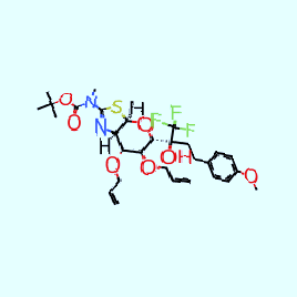 C=CCO[C@@H]1[C@H]2N=C(N(C)C(=O)OC(C)(C)C)S[C@H]2O[C@H](C(O)(CCc2ccc(OC)cc2)C(F)(F)F)[C@H]1OCC=C